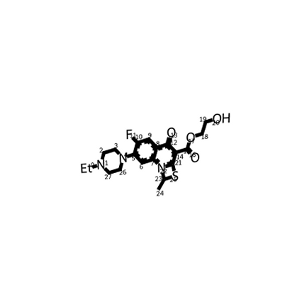 CCN1CCN(c2cc3c(cc2F)c(=O)c(C(=O)OCCO)c2n3C(C)S2)CC1